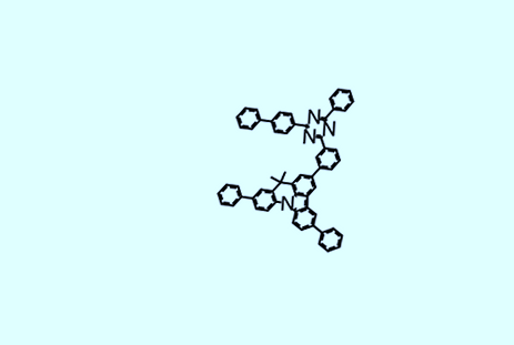 CC1(C)c2cc(-c3ccccc3)ccc2-n2c3ccc(-c4ccccc4)cc3c3cc(-c4cccc(-c5nc(-c6ccccc6)nc(-c6ccc(-c7ccccc7)cc6)n5)c4)cc1c32